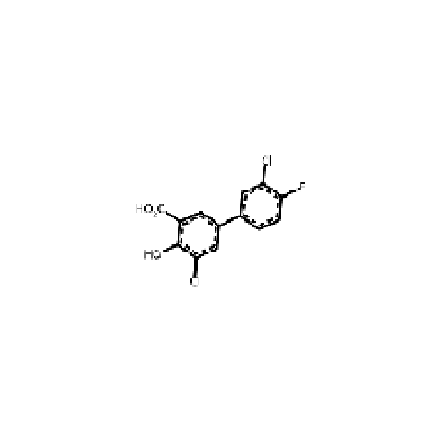 O=C(O)c1cc(-c2ccc(F)c(Cl)c2)cc(Cl)c1O